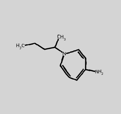 CCCC(C)N1C=CC=C(N)C=C1